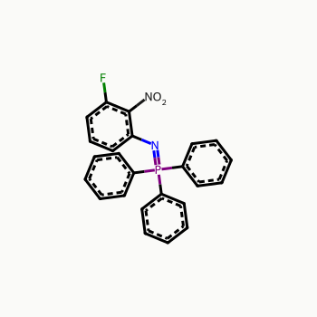 O=[N+]([O-])c1c(F)cccc1N=P(c1ccccc1)(c1ccccc1)c1ccccc1